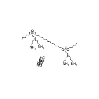 CCCCCOP(=O)(CCN(CCCN)CCCN)OCCCCCCCCCCCCCCOP(=O)(CCN(CCCN)CCCN)OCCCCC.Cl.Cl.Cl.Cl.Cl.Cl